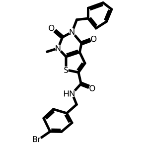 Cn1c(=O)n(Cc2ccccc2)c(=O)c2cc(C(=O)NCc3ccc(Br)cc3)sc21